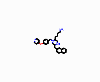 NCCCCC1CNC(Cc2ccc3ccccc3c2)CN1Cc1ccc(Oc2ccncc2)cc1